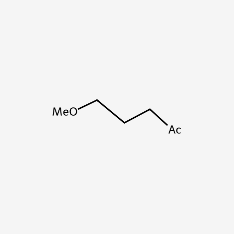 [CH2]OCCCC(C)=O